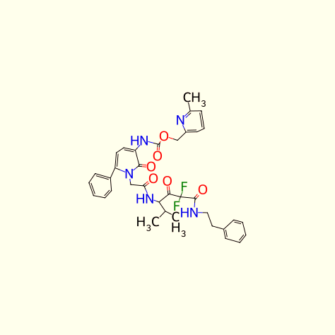 Cc1cccc(COC(=O)Nc2ccc(-c3ccccc3)n(CC(=O)NC(C(=O)C(F)(F)C(=O)NCCc3ccccc3)C(C)C)c2=O)n1